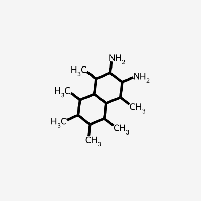 CC1C(C)C(C)C2C(C)C(N)C(N)C(C)C2C1C